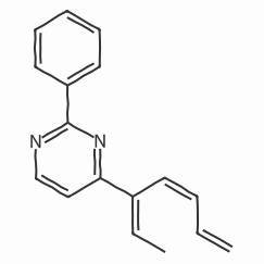 C=C/C=C\C(=C/C)c1ccnc(-c2ccccc2)n1